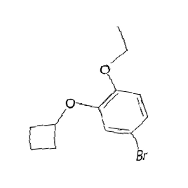 CCOc1ccc(Br)cc1OC1CCC1